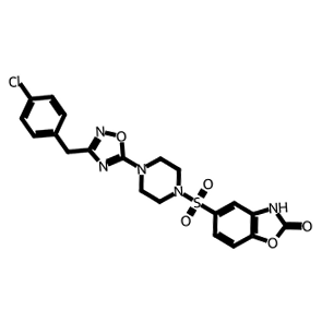 O=c1[nH]c2cc(S(=O)(=O)N3CCN(c4nc(Cc5ccc(Cl)cc5)no4)CC3)ccc2o1